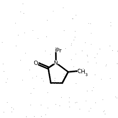 CC(C)N1C(=O)CCC1C